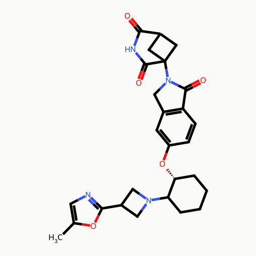 Cc1cnc(C2CN(C3CCCC[C@H]3Oc3ccc4c(c3)CN(C35CC(C3)C(=O)NC5=O)C4=O)C2)o1